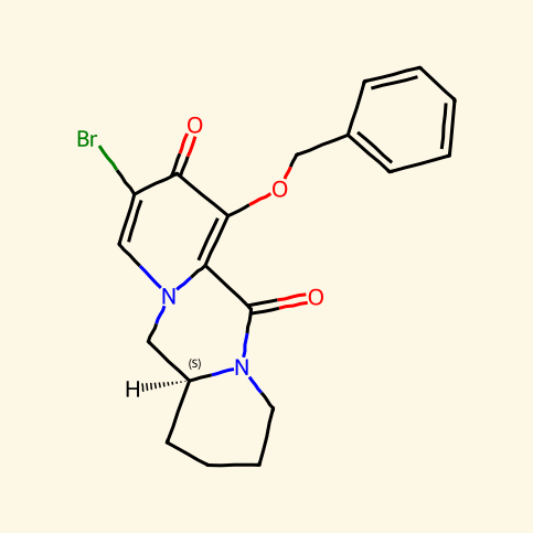 O=C1c2c(OCc3ccccc3)c(=O)c(Br)cn2C[C@@H]2CCCCN12